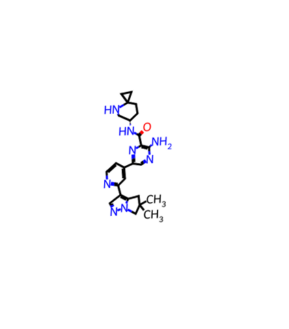 CC1(C)Cc2c(-c3cc(-c4cnc(N)c(C(=O)N[C@H]5CCC6(CC6)NC5)n4)ccn3)cnn2C1